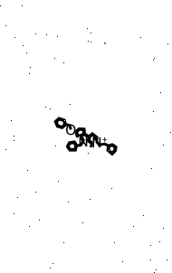 Cc1c2c(cc[n+]1CCc1ccccc1)c1ccc(OCc3ccccc3)cc1n2Cc1ccccc1